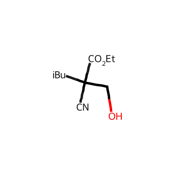 CCOC(=O)C(C#N)(CO)C(C)CC